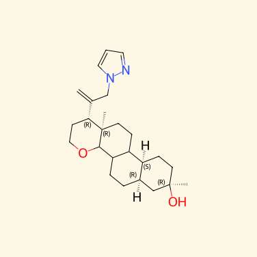 C=C(Cn1cccn1)[C@H]1CCOC2C3CC[C@@H]4C[C@](C)(O)CC[C@@H]4C3CC[C@@]21C